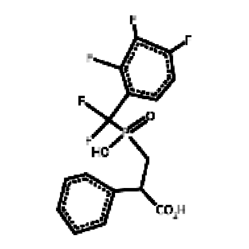 O=C(O)C(CP(=O)(O)C(F)(F)c1ccc(F)c(F)c1F)c1ccccc1